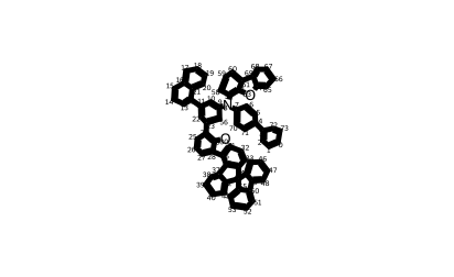 c1ccc(-c2ccc(N(c3cc(-c4cccc5ccccc45)cc(-c4cccc5c4oc4ccc6c(c45)-c4ccccc4C64c5ccccc5-c5ccccc54)c3)c3cccc4c3oc3ccccc34)cc2)cc1